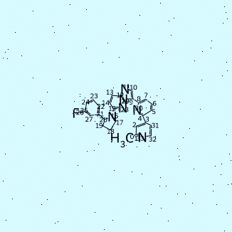 Cc1cc(-c2cccc(-c3cnc4ccc(N5CCCC5c5cccc(F)c5)nn34)n2)ccn1